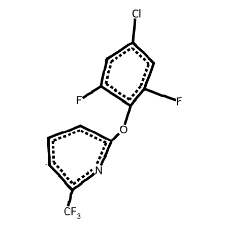 Fc1cc(Cl)cc(F)c1Oc1cc[c]c(C(F)(F)F)n1